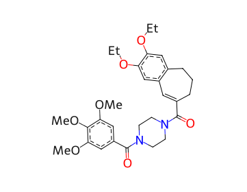 CCOc1cc2c(cc1OCC)CCCC(C(=O)N1CCN(C(=O)c3cc(OC)c(OC)c(OC)c3)CC1)=C2